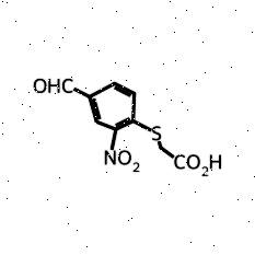 O=Cc1ccc(SCC(=O)O)c([N+](=O)[O-])c1